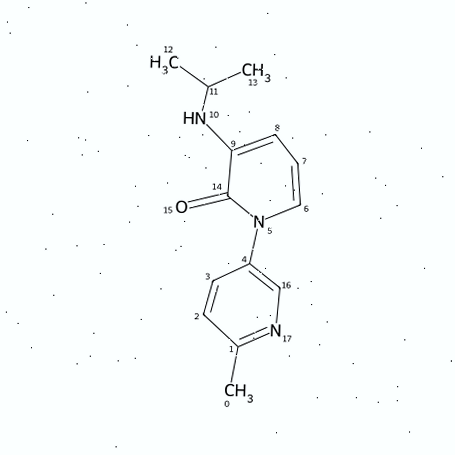 Cc1ccc(-n2cccc(NC(C)C)c2=O)cn1